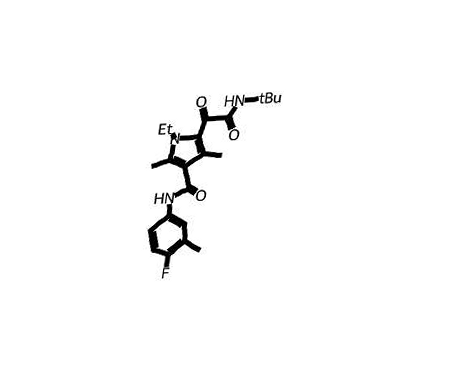 CCn1c(C)c(C(=O)Nc2ccc(F)c(C)c2)c(C)c1C(=O)C(=O)NC(C)(C)C